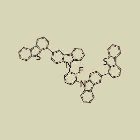 Fc1c(-n2c3ccccc3c3cc(-c4cccc5c4sc4ccccc45)ccc32)cccc1-n1c2ccccc2c2cc(-c3cccc4c3sc3ccccc34)ccc21